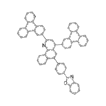 c1ccc2oc(-c3ccc(-c4cc5c(-c6ccc7c8ccccc8c8ccccc8c7c6)cc(-c6ccc7c8ccccc8c8ccccc8c7c6)nc5c5ccccc45)cc3)nc2c1